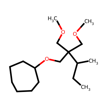 CCC(C)C(COC)(COC)COC1CCCCCC1